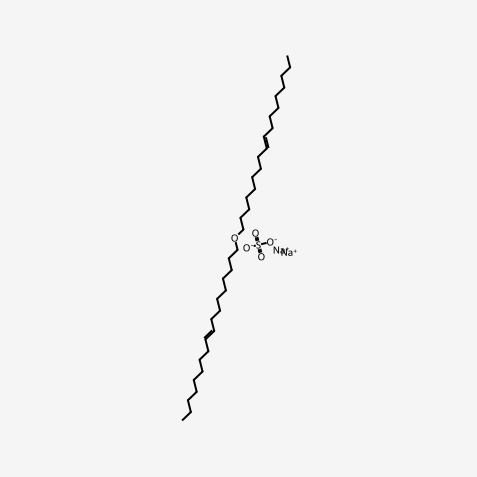 CCCCCCCCC=CCCCCCCCCOCCCCCCCCC=CCCCCCCCC.O=S(=O)([O-])[O-].[Na+].[Na+]